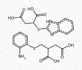 Nc1ccccc1SCC(CC(=O)O)C(=O)O.O=C(O)CC(Sc1nc2ccccc2[nH]1)C(=O)O